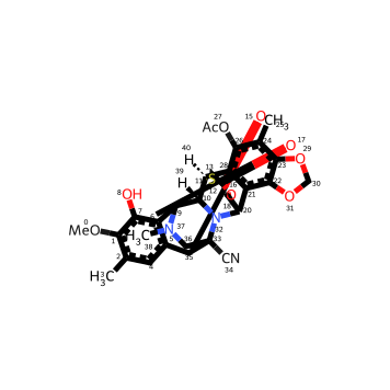 COc1c(C)cc2c(c1O)C1[C@@H]3[C@@H]4SCC(=O)C(=O)OCC(c5c6c(c(C)c(OC(C)=O)c54)OCO6)N3C(C#N)(C2)CN1C